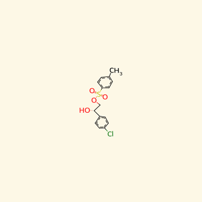 Cc1ccc(S(=O)(=O)OC[C@@H](O)c2ccc(Cl)cc2)cc1